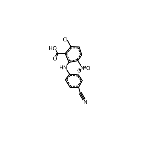 N#Cc1ccc(Nc2c([N+](=O)[O-])ccc(Cl)c2C(=O)O)cc1